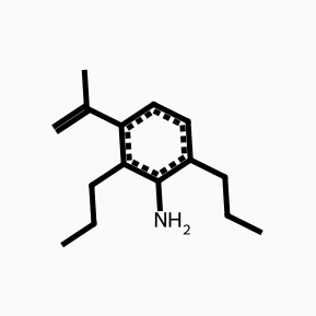 C=C(C)c1ccc(CCC)c(N)c1CCC